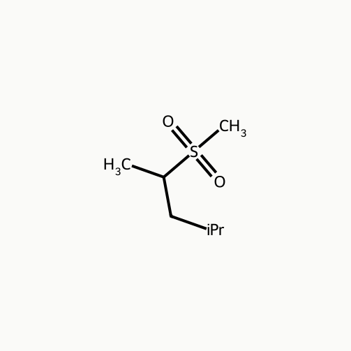 CC(C)CC(C)S(C)(=O)=O